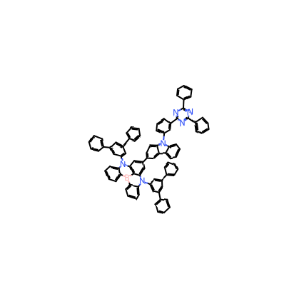 c1ccc(-c2cc(-c3ccccc3)cc(N3c4ccccc4B4c5ccccc5N(c5cc(-c6ccccc6)cc(-c6ccccc6)c5)c5cc(-c6ccc7c(c6)c6ccccc6n7-c6cccc(-c7nc(-c8ccccc8)nc(-c8ccccc8)n7)c6)cc3c54)c2)cc1